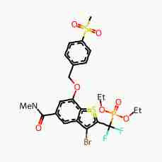 CCOP(=O)(OCC)C(F)(F)c1sc2c(OCc3ccc(S(C)(=O)=O)cc3)cc(C(=O)NC)cc2c1Br